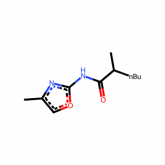 CCCCC(C)C(=O)Nc1nc(C)co1